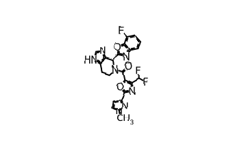 Cn1ccc(-c2nc(C(F)F)c(C(=O)N3CCc4[nH]cnc4[C@H]3c3nc4cccc(F)c4o3)o2)n1